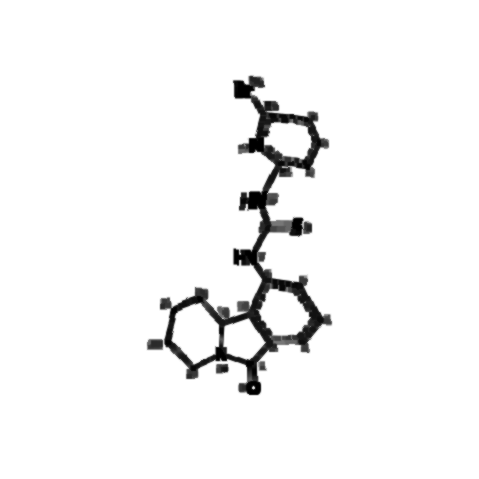 O=C1c2cccc(NC(=S)Nc3cccc(Br)n3)c2C2CCCCN12